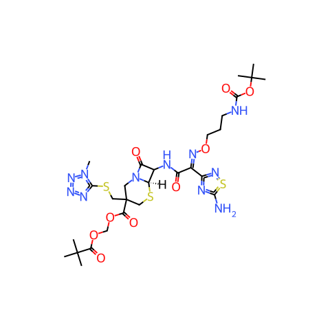 Cn1nnnc1SCC1(C(=O)OCOC(=O)C(C)(C)C)CS[C@@H]2C(NC(=O)C(=NOCCCNC(=O)OC(C)(C)C)c3nsc(N)n3)C(=O)N2C1